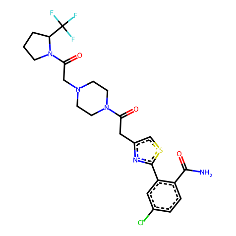 NC(=O)c1ccc(Cl)cc1-c1nc(CC(=O)N2CCN(CC(=O)N3CCCC3C(F)(F)F)CC2)cs1